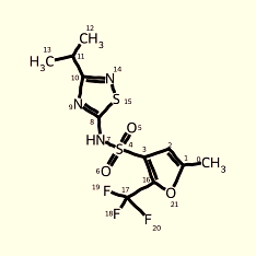 Cc1cc(S(=O)(=O)Nc2nc(C(C)C)ns2)c(C(F)(F)F)o1